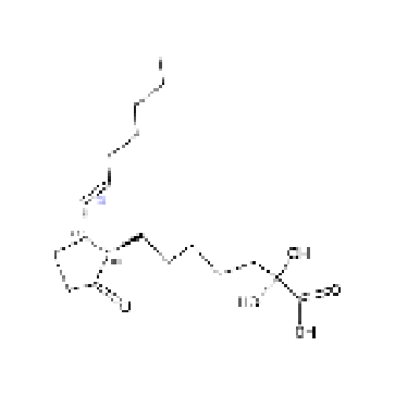 CCCCC/C=C/[C@H]1CCC(=O)[C@@H]1CCCCCC(O)(O)C(=O)O